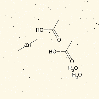 CC(=O)O.CC(=O)O.O.O.[CH3][Zn][CH3]